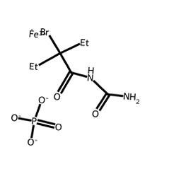 CCC(Br)(CC)C(=O)NC(N)=O.O=P([O-])([O-])[O-].[Fe+3]